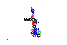 COc1cc2c(Oc3ccc(NC(=O)c4nn(-c5ccccc5Cl)c(=O)n4C4CC4)cc3F)ccnc2cc1OCCCN1CCC(C)CC1